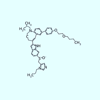 CCCCOCCOc1ccc(-c2ccc3c(c2)C=C(c2cc4ccc([S+]([O-])Cc5cncn5CCC)cc4[nH]2)CCCN3CC(C)C)cc1